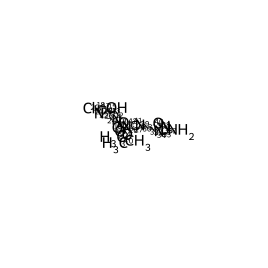 CC(C)(C)OC(=O)N(OC(=O)N1CCC(O)(c2ccc(Cl)nc2)CC1)C1CCN(CCCCn2ccc(N)nc2=O)CC1